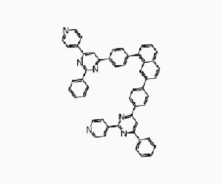 c1ccc(-c2cc(-c3ccc(-c4ccc5cccc(-c6ccc(-c7cc(-c8ccncc8)nc(-c8ccccc8)n7)cc6)c5c4)cc3)nc(-c3ccncc3)n2)cc1